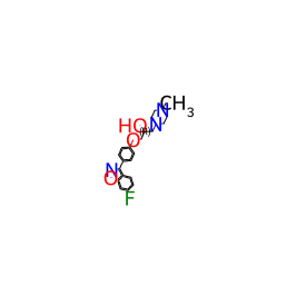 CN1CCN(C[C@@H](O)COc2ccc(-c3noc4cc(F)ccc34)cc2)CC1